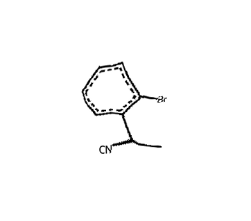 [C-]#[N+]C(C)c1ccccc1Br